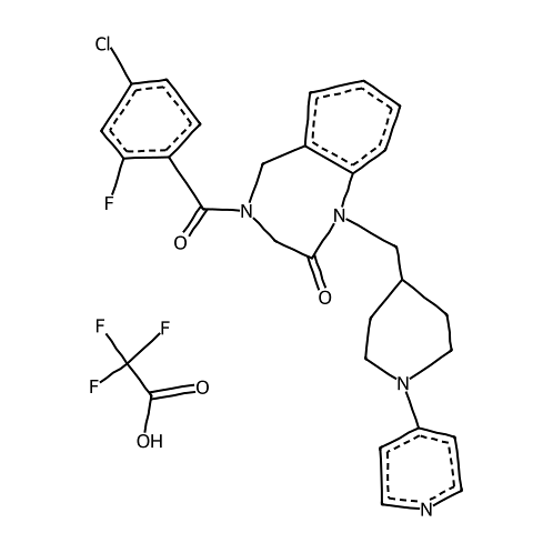 O=C(O)C(F)(F)F.O=C(c1ccc(Cl)cc1F)N1CC(=O)N(CC2CCN(c3ccncc3)CC2)c2ccccc2C1